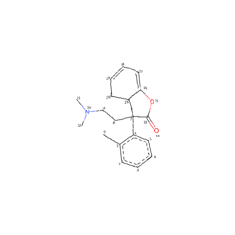 Cc1ccccc1C1(CCN(C)C)C(=O)OC2=CC=CCC21